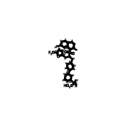 Cc1ccc2ccc(F)cc2c1S(=O)(=O)N(Cc1ccc(-c2cccc(C(C)(C)C(=O)O)c2)cc1)Cc1ccc(C(F)(F)F)o1